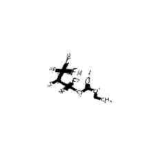 CCOC(=O)OC(F)(F)C(F)C(F)(F)F